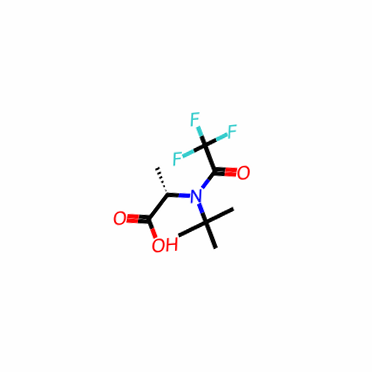 C[C@@H](C(=O)O)N(C(=O)C(F)(F)F)C(C)(C)C